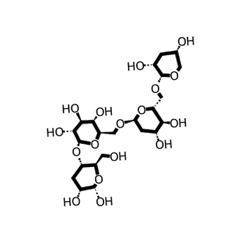 OC[C@H]1O[C@H](O)[C@H](O)C[C@@H]1O[C@H]1O[C@H](CO[C@@H]2C[C@@H](O)[C@H](O)[C@@H](CO[C@H]3OC[C@@H](O)C[C@H]3O)O2)[C@@H](O)[C@H](O)[C@H]1O